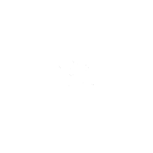 CCCC(CNC(=N)N)CC(=O)O.Cl.Cl